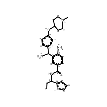 CCC(NC(=O)c1ccc(N)c(C(N)c2ccc(OC3CCN(C)CC3)cc2)c1)c1cccs1